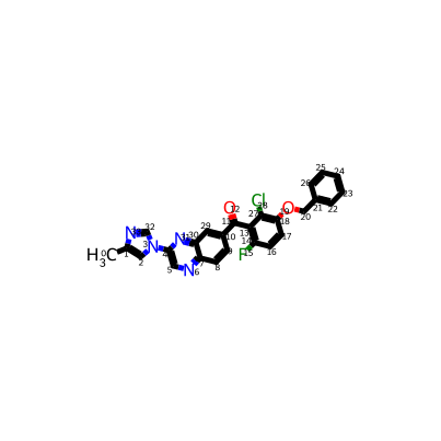 Cc1cn(-c2cnc3ccc(C(=O)c4c(F)ccc(OCc5ccccc5)c4Cl)cc3n2)cn1